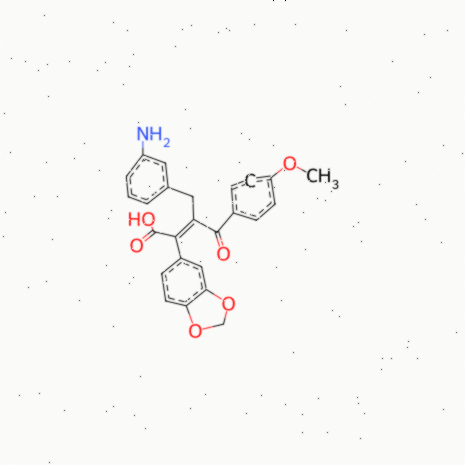 COc1ccc(C(=O)C(Cc2cccc(N)c2)=C(C(=O)O)c2ccc3c(c2)OCO3)cc1